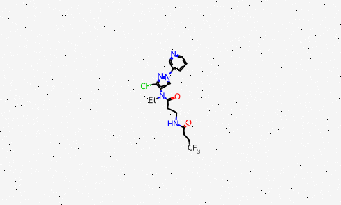 CCN(C(=O)CCNC(=O)CCC(F)(F)F)c1cn(-c2cccnc2)nc1Cl